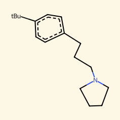 CC(C)(C)c1ccc(CCCN2CCCC2)cc1